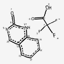 O=C(O)C(F)(F)F.O=c1ncc2cccnc2[nH]1